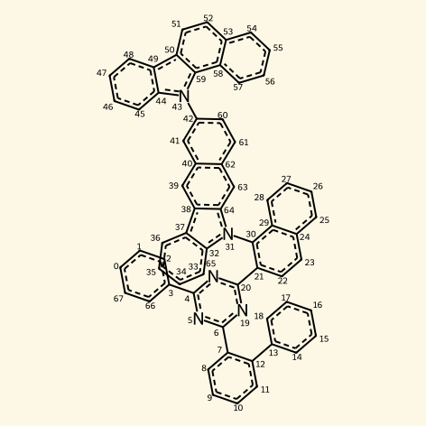 c1ccc(-c2nc(-c3ccccc3-c3ccccc3)nc(-c3ccc4ccccc4c3-n3c4ccccc4c4cc5cc(-n6c7ccccc7c7ccc8ccccc8c76)ccc5cc43)n2)cc1